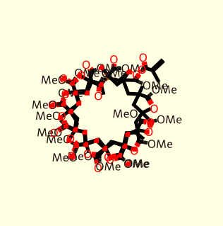 C=C(C)C(=O)OCCSC(C)C(C)(CC(C)(CC(C)(CC(C)(CC(C)(CC(C)(CC(C)(CC(C)(CC(C)(CC(C)(CC(C)(CC(C)(CC(C)(CC(C)(CC(C)(CC(C)(CC(C)(CC(C)(CC(C)(CC(C)C(=O)OC)C(=O)OC)C(=O)OC)C(=O)OC)C(=O)OC)C(=O)OC)C(=O)OC)C(=O)OC)C(=O)OC)C(=O)OC)C(=O)OC)C(=O)OC)C(=O)OC)C(=O)OC)C(=O)OC)C(=O)OC)C(=O)OC)C(=O)OC)C(=O)OC)C(=O)OC